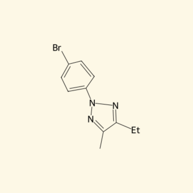 CCc1nn(-c2ccc(Br)cc2)nc1C